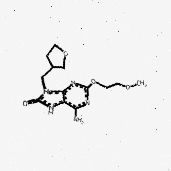 COCCOc1nc(N)c2[nH]c(=O)n(CC3CCOC3)c2n1